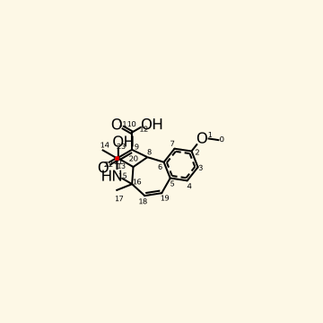 COc1ccc2c(c1)C1C(C(=O)O)=C(C)NC(C)(C=C2)C1C(=O)O